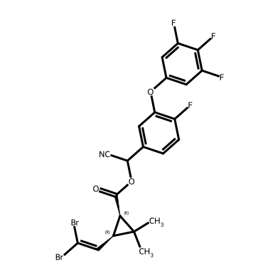 CC1(C)[C@H](C(=O)OC(C#N)c2ccc(F)c(Oc3cc(F)c(F)c(F)c3)c2)[C@@H]1C=C(Br)Br